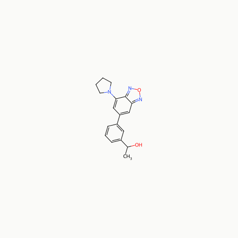 CC(O)c1cccc(-c2cc(N3CCCC3)c3nonc3c2)c1